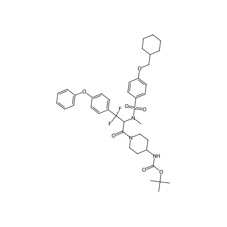 CN(C(C(=O)N1CCC(NC(=O)OC(C)(C)C)CC1)C(F)(F)c1ccc(Oc2ccccc2)cc1)S(=O)(=O)c1ccc(OCC2CCCCC2)cc1